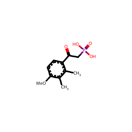 COc1ccc(C(=O)CP(=O)(O)O)c(C)c1C